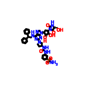 NS(=O)(=O)c1cccc(NC(=O)NC2CCN(c3nc(NCC(c4ccccc4)c4ccccc4)c4ncn([C@@H]5C[C@H](N6C(=O)N[C@H](CO)C6=O)[C@@H](O)[C@H]5O)c4n3)C2)c1